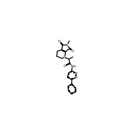 CC(C(=O)Nc1ccc(-c2ccccc2)nn1)N1CCCC2=C1C(=O)N(C)C2=O